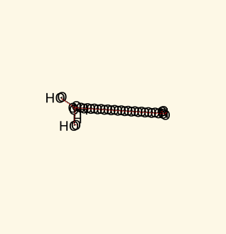 O=C(O)CCCCCCCCCCCCCCC(CCCCCCCCCCCCCCC(=O)O)(C(=O)O)C(=O)NCCOCCOCCOCCOCCOCCOCCOCCOCCOCCOCCOCCOCCOCCOCCOCCOCCOCCOCCOCCOCCOCCOCCOCCOCCC(=O)ON1C(=O)CCC1=O